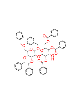 O=C(OCC1O[C@H](OC2[C@@H](OCc3ccccc3)OC(COCc3ccccc3)[C@@H](OCc3ccccc3)[C@@H]2OCc2ccccc2)C(OC(=O)c2ccccc2)[C@@H](O)[C@@H]1OC(=O)c1ccccc1)c1ccccc1